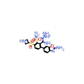 NN/N=C(\N)c1c(-c2ccc3nc(N)oc3c2)ccc(S(=O)(=O)C2CNC2)c1S(N)(=O)=O